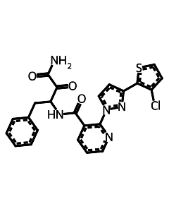 NC(=O)C(=O)C(Cc1ccccc1)NC(=O)c1cccnc1-n1ccc(-c2sccc2Cl)n1